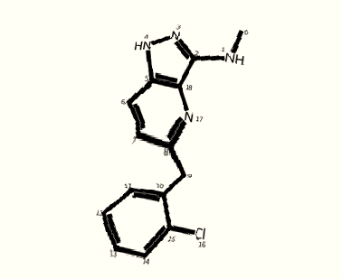 CNc1n[nH]c2ccc(Cc3ccccc3Cl)nc12